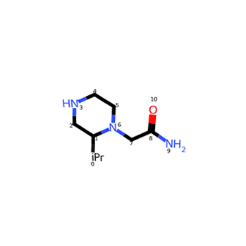 CC(C)C1CNCCN1CC(N)=O